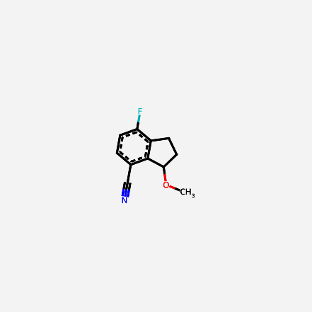 COC1CCc2c(F)ccc(C#N)c21